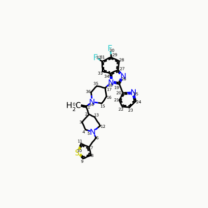 C=C(C1CCN(Cc2ccsc2)CC1)N1CCC(n2c(-c3ccccn3)nc3cc(F)c(F)cc32)CC1